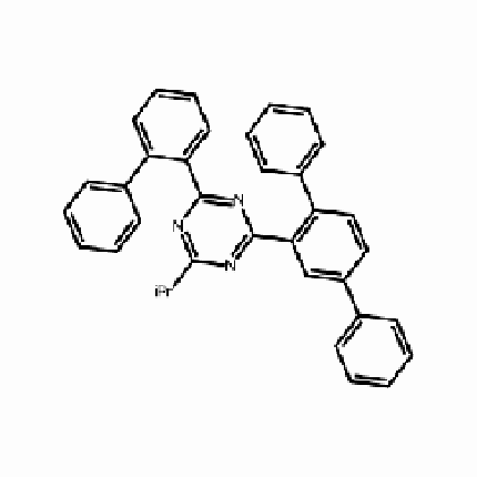 CC(C)c1nc(-c2ccccc2-c2ccccc2)nc(-c2cc(-c3ccccc3)ccc2-c2ccccc2)n1